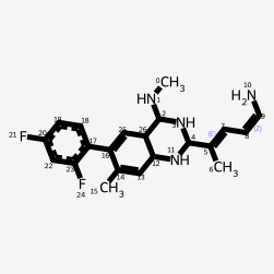 CNC1NC(/C(C)=C/C=C\N)NC2C=C(C)C(c3ccc(F)cc3F)=CC21